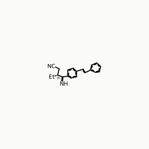 CC[C@@H](CC#N)C(=N)c1ccc(C=Cc2ccccc2)cc1